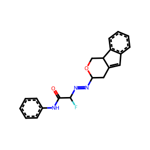 O=C(Nc1ccccc1)C(F)N=NC1CC2=Cc3ccccc3C2CO1